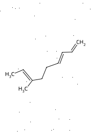 C=CC=CCCC(C)=CC